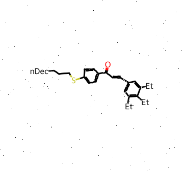 CCCCCCCCCCCCCSc1ccc(C(=O)C=Cc2cc(CC)c(CC)c(CC)c2)cc1